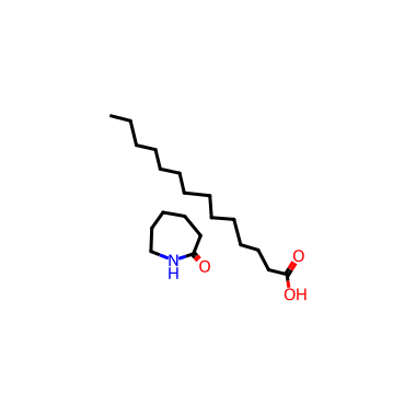 CCCCCCCCCCCCCC(=O)O.O=C1CCCCCN1